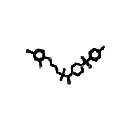 CC(C)(CCCOc1ccc(Cl)cc1F)C(=O)N1CCN(S(=O)(=O)c2ccc(F)cc2)CC1